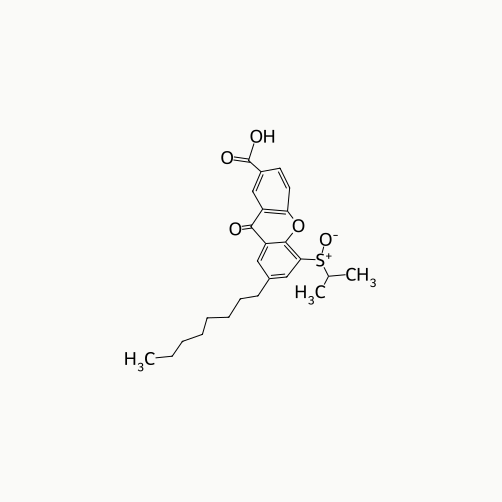 CCCCCCCCc1cc([S+]([O-])C(C)C)c2oc3ccc(C(=O)O)cc3c(=O)c2c1